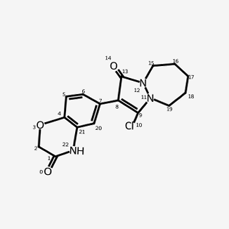 O=C1COc2ccc(-c3c(Cl)n4n(c3=O)CCCCC4)cc2N1